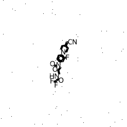 N#CC=C1CCN(c2ccc(N3CC(CNC(=O)C(F)F)OC3=O)cc2F)CC1